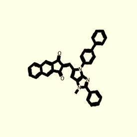 Cn1c(-c2ccccc2)nc2c1cc(C=C1C(=O)c3cc4ccccc4cc3C1=O)n2-c1ccc(-c2ccccc2)cc1